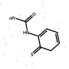 CCCC(=O)NC1=C[C]=CCC1=S